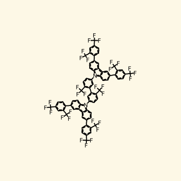 FC(F)(F)c1ccc(-c2ccc3c(c2)c2cc(-c4ccc(C(F)(F)F)cc4C(F)(F)F)ccc2n3-c2ccc(C(F)(F)F)c(-c3cc(-n4c5ccc(-c6ccc(C(F)(F)F)cc6C(F)(F)F)cc5c5cc(-c6ccc(C(F)(F)F)cc6C(F)(F)F)ccc54)ccc3C(F)(F)F)c2)c(C(F)(F)F)c1